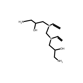 C=CN(CC(O)CN)CN(C=C)CC(O)CN